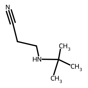 CC(C)(C)NCCC#N